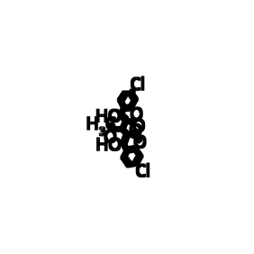 CC(=O)C(c1c(O)c2ccc(Cl)cc2oc1=O)c1c(O)c2ccc(Cl)cc2oc1=O